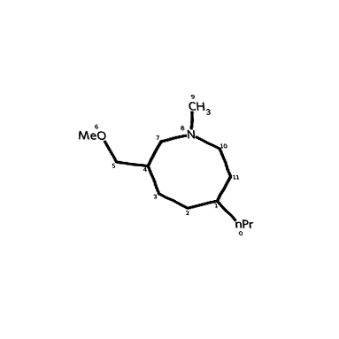 CCCC1CCC(COC)CN(C)CC1